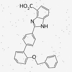 O=C(O)c1cccc2[nH]c(-c3ccc(-c4ccccc4OCc4ccccc4)cc3)nc12